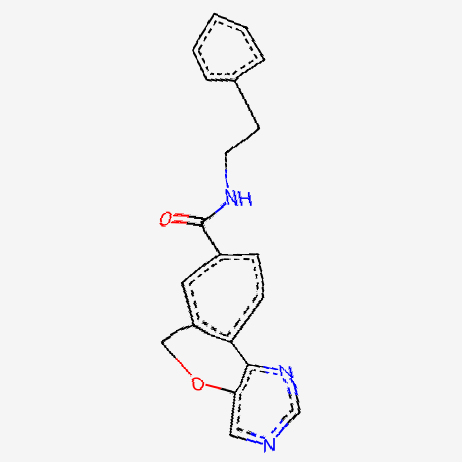 O=C(NCCc1ccccc1)c1ccc2c(c1)COc1cncnc1-2